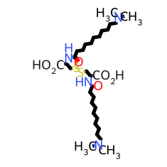 CN(C)CCCCCCCCCCC(=O)NC(CSSCC(NC(=O)CCCCCCCCCCN(C)C)C(=O)O)C(=O)O